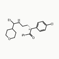 CCC(NCC[C@@H](C(=O)C(C)C)c1ccc(Cl)cc1)C1CCOCC1